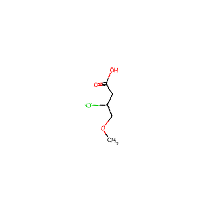 COCC(Cl)CC(=O)O